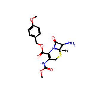 COC(=O)NC1=C(C(=O)OCc2ccc(OC)cc2)N2C(=O)C(N)[C@@H]2SC1